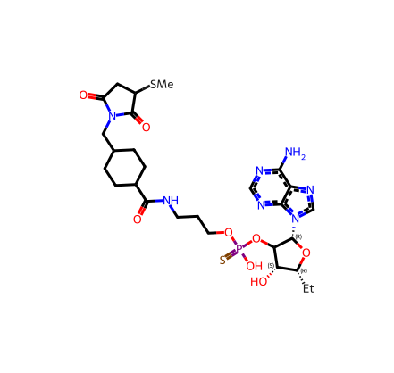 CC[C@H]1O[C@@H](n2cnc3c(N)ncnc32)C(OP(O)(=S)OCCCNC(=O)C2CCC(CN3C(=O)CC(SC)C3=O)CC2)[C@H]1O